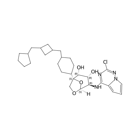 O[C@@H]1[C@@H](Nc2nc(Cl)nn3cccc23)[C@H]2OC[C@](C3CCC(CC4CC(CC5CCCC5)C4)CC3)(O2)[C@@H]1O